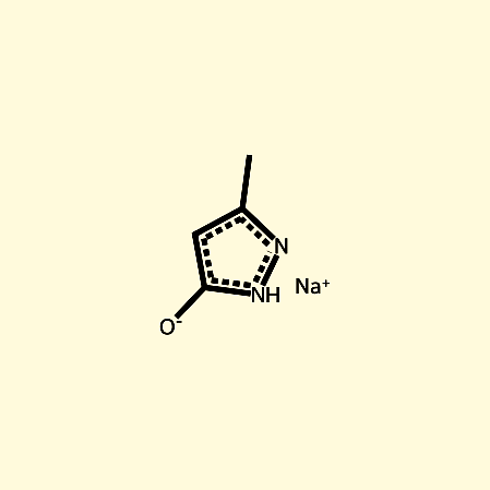 Cc1cc([O-])[nH]n1.[Na+]